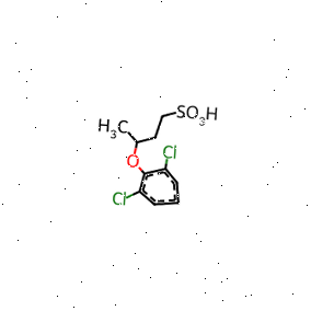 CC(CCS(=O)(=O)O)Oc1c(Cl)cccc1Cl